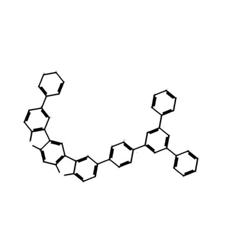 C1=CC(c2ccc3oc4cc5oc6ccc(-c7ccc(-c8cc(-c9ccccc9)cc(-c9ccccc9)c8)cc7)cc6c5cc4c3c2)=CCC1